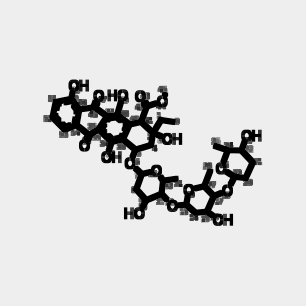 CCC1(O)CC(OC2CC(O)C(OC3CC(O)C(OC4CCC(O)C(C)O4)C(C)O3)C(C)O2)c2c(O)c3c(c(O)c2C1C(=O)OC)C(=O)c1c(O)cccc1C3=O